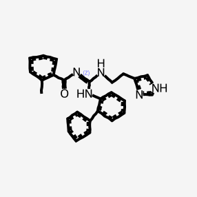 Cc1ccccc1C(=O)/N=C(/NCCc1c[nH]cn1)Nc1ccccc1-c1ccccc1